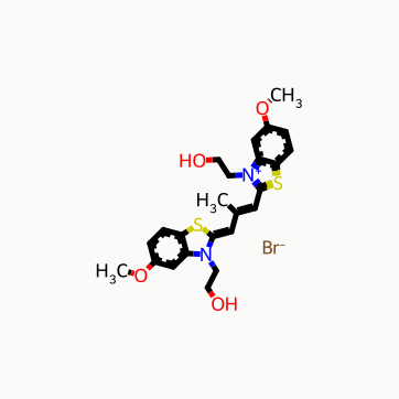 COc1ccc2c(c1)N(CCO)/C(=C/C(C)=C/c1sc3ccc(OC)cc3[n+]1CCO)S2.[Br-]